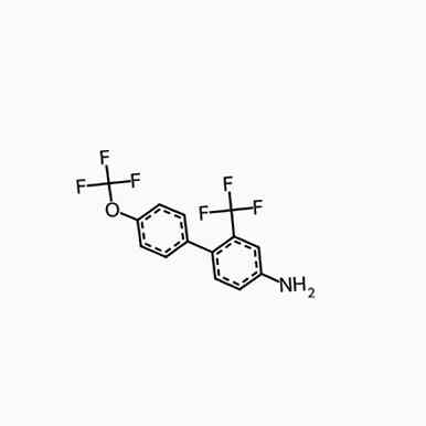 Nc1ccc(-c2ccc(OC(F)(F)F)cc2)c(C(F)(F)F)c1